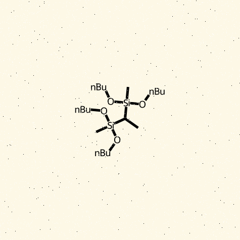 CCCCO[Si](C)(OCCCC)C(C)[Si](C)(OCCCC)OCCCC